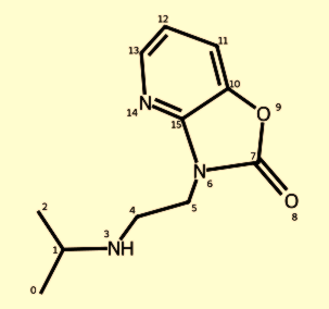 CC(C)NCCn1c(=O)oc2cccnc21